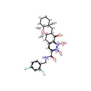 O=C(NCc1ccc(F)cc1F)c1cc2c(n(O)[n+]1=O)C(=O)C1C[C@H]3CCCC[C@@H]3O[C@@H]1C2